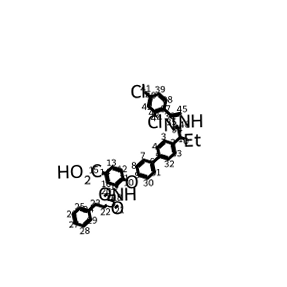 CCC(c1ccc(-c2ccc(Oc3ccc(C(=O)O)cc3NS(=O)(=O)CCc3ccccc3)cc2)cc1)c1nc(-c2ccc(Cl)cc2Cl)c[nH]1